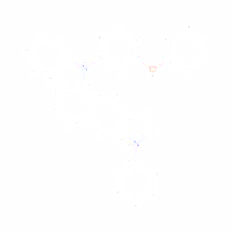 c1ccc(Oc2cccc(-n3c4ccccc4c4ccc5cc6c(ccn6-c6ccccc6)cc5c43)c2)cc1